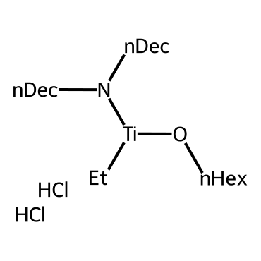 CCCCCCCCCC[N](CCCCCCCCCC)[Ti]([CH2]C)[O]CCCCCC.Cl.Cl